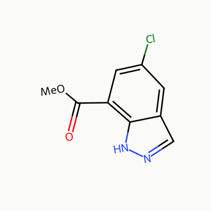 COC(=O)c1cc(Cl)cc2cn[nH]c12